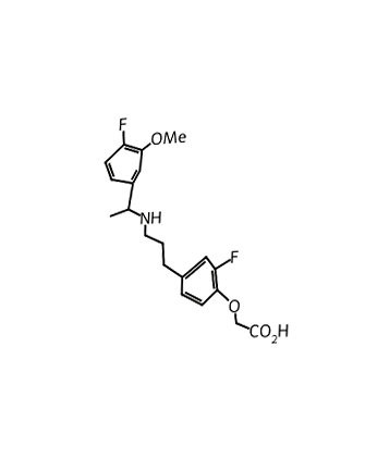 COc1cc(C(C)NCCCc2ccc(OCC(=O)O)c(F)c2)ccc1F